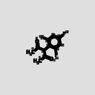 CC(=O)C(C(C)=O)c1c(F)cc(F)cc1F